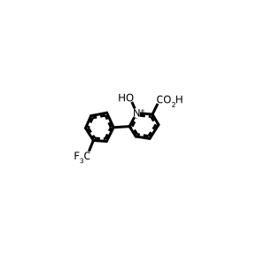 O=C(O)c1cccc(-c2cccc(C(F)(F)F)c2)[n+]1O